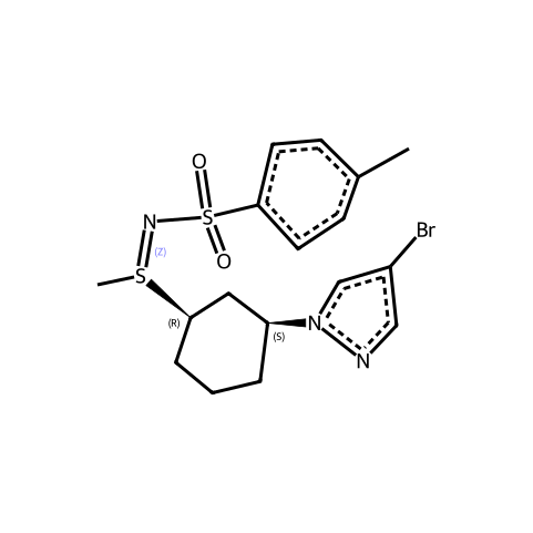 Cc1ccc(S(=O)(=O)/N=S(/C)[C@@H]2CCC[C@H](n3cc(Br)cn3)C2)cc1